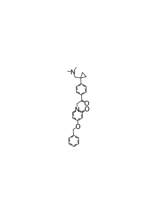 CN(C)CC1(c2ccc(C(=O)Cn3ccc(OCc4ccccc4)cc3=O)cc2)CC1